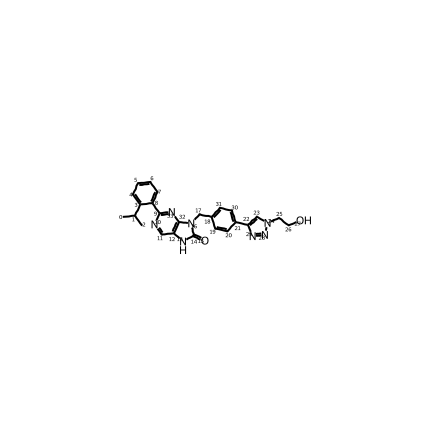 CC(C)c1ccccc1-c1ncc2[nH]c(=O)n(Cc3ccc(-c4cn(CCO)nn4)cc3)c2n1